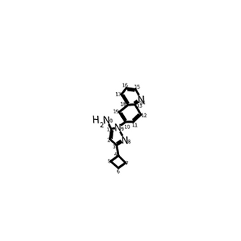 Nc1cc(C2CCC2)nn1-c1ccc2ncccc2c1